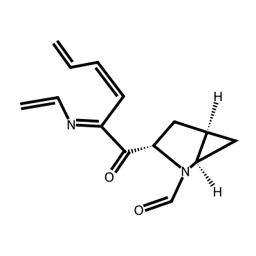 C=C/C=C\C(=N/C=C)C(=O)[C@@H]1C[C@H]2C[C@H]2N1C=O